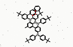 Cc1cc2c3c(c1)N(c1ccc(C(C)(C)C)cc1-c1ccccc1)c1cc4c(cc1B3N(c1ccc(C(C)(C)C)cc1)c1ccc(N(c3ccc(C(C)(C)C)cc3)c3ccc(C(C)(C)C)cc3)cc1-2)C(C)(C)c1ccccc1-4